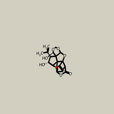 C=C(C)[C@@H]1[C@@H](O)C2OC(=O)C34OC5OCO[C@H](O)C51C23C=C1CC4C(=O)O1